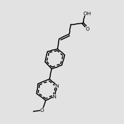 COc1ccc(-c2ccc(C=CCC(=O)O)cc2)nn1